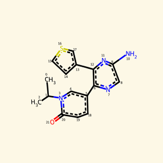 CC(C)n1cc(-c2ncc(N)nc2-c2ccsc2)ccc1=O